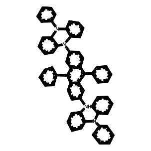 c1ccc(-c2c3ccc(N4c5ccccc5N(c5ccccc5)c5ccccc54)cc3c(-c3ccccc3)c3ccc(Nc4ccccc4N(c4ccccc4)c4ccccc4)cc23)cc1